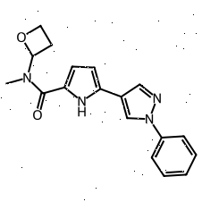 CN(C(=O)c1ccc(-c2cnn(-c3ccccc3)c2)[nH]1)C1CCO1